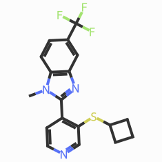 Cn1c(-c2ccncc2SC2CCC2)nc2cc(C(F)(F)F)ccc21